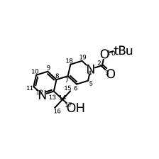 CC(C)(C)OC(=O)N1CC=C(c2cccnc2C(C)(C)O)CC1